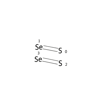 S=[Se].S=[Se]